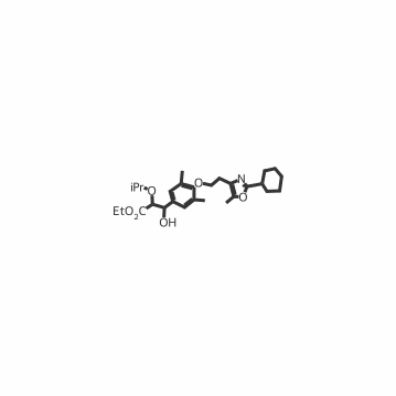 CCOC(=O)C(OC(C)C)C(O)c1cc(C)c(OCCc2nc(C3CCCCC3)oc2C)c(C)c1